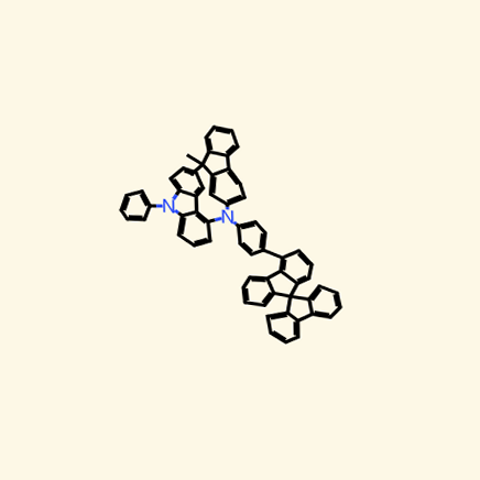 CC1(C)c2ccccc2-c2ccc(N(c3ccc(-c4cccc5c4-c4ccccc4C54c5ccccc5-c5ccccc54)cc3)c3cccc4c3c3ccccc3n4-c3ccccc3)cc21